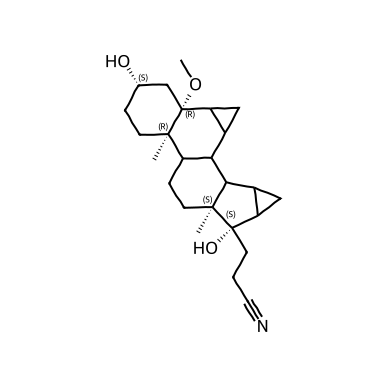 CO[C@@]12C[C@@H](O)CC[C@]1(C)C1CC[C@@]3(C)C(C4CC4[C@@]3(O)CCC#N)C1C1CC12